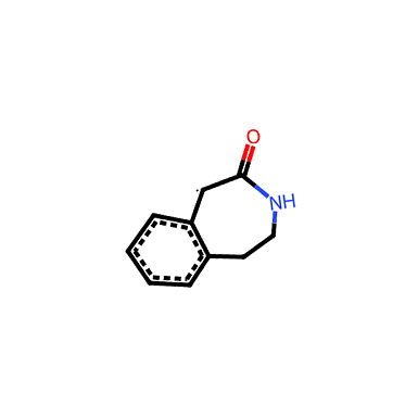 O=C1[CH]c2ccccc2CCN1